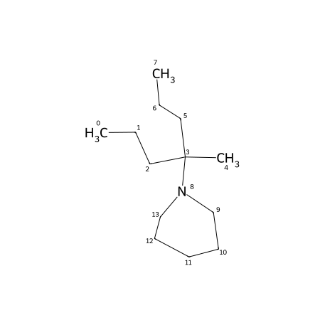 CCCC(C)(CCC)N1CCCCC1